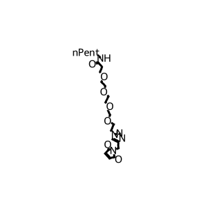 CCCCCNC(=O)CCOCCOCCOCCOCCn1cc(CN2C(=O)C=CC2=O)nn1